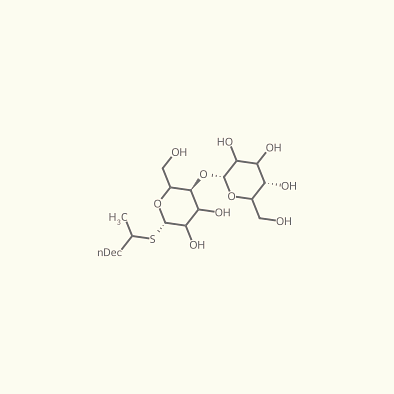 CCCCCCCCCCC(C)S[C@@H]1OC(CO)[C@@H](O[C@H]2OC(CO)[C@@H](O)C(O)C2O)C(O)C1O